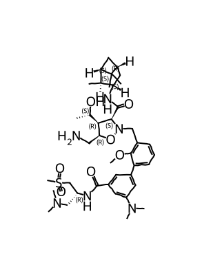 COc1c(CN2O[C@@H](CN)[C@@H]([C@H](C)O)[C@H]2C(=O)N[C@H]2C[C@H]3C[C@@H]([C@@H]2C)C3(C)C)cccc1-c1cc(C(=O)N[C@H](CN(C)C)CS(C)(=O)=O)cc(N(C)C)c1